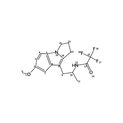 COc1ccc2c(c1)c(CC(C)NC(=O)C(F)(F)F)c1n2CCC1